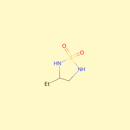 CCC1CNS(=O)(=O)N1